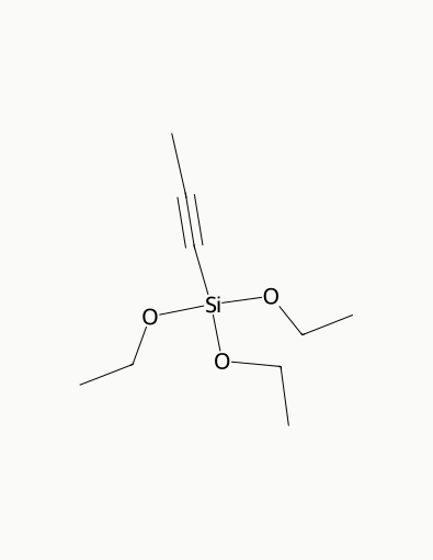 CC#C[Si](OCC)(OCC)OCC